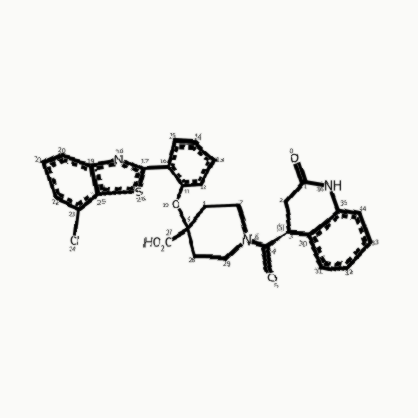 O=C1C[C@H](C(=O)N2CCC(Oc3ccccc3-c3nc4cccc(Cl)c4s3)(C(=O)O)CC2)c2ccccc2N1